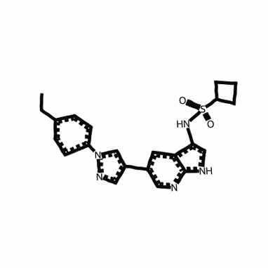 CCc1ccc(-n2cc(-c3cnc4[nH]cc(NS(=O)(=O)C5CCC5)c4c3)cn2)cc1